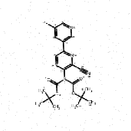 CC(C)(C)OC(=O)N(C(=O)OC(C)(C)C)c1ncc(-c2cncc(F)c2)nc1C#N